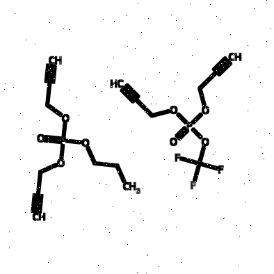 C#CCOP(=O)(OCC#C)OC(F)(F)F.C#CCOP(=O)(OCC#C)OCCC